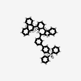 CC12N=C(c3cccc(-c4ccc(P(=O)(c5ccccc5)c5ccccc5)cc4)c3)c3sc4ccccc4c3C1C=CC=C2c1cc2ccccc2c2ccccc12